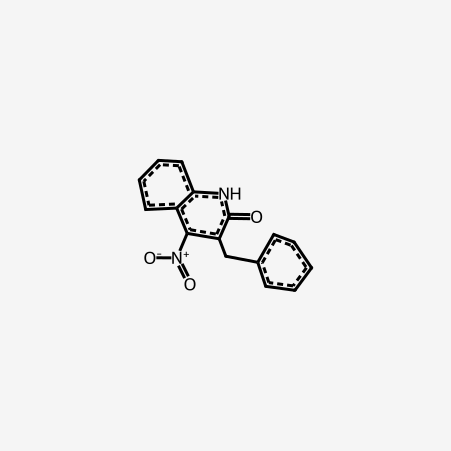 O=c1[nH]c2ccccc2c([N+](=O)[O-])c1Cc1ccccc1